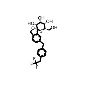 OC[C@H]1S[C@]2(OCc3ccc(Cc4ccc(CC(F)(F)F)cc4)cc32)[C@H](O)[C@@H](O)[C@@H]1O